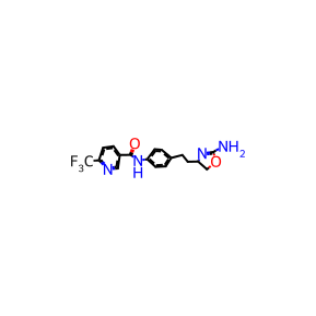 NC1=NC(CCc2ccc(NC(=O)c3ccc(C(F)(F)F)nc3)cc2)CO1